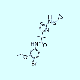 CCOc1cc(NC(=O)C(C)(C)c2csc(NSC3CC3)n2)ccc1Br